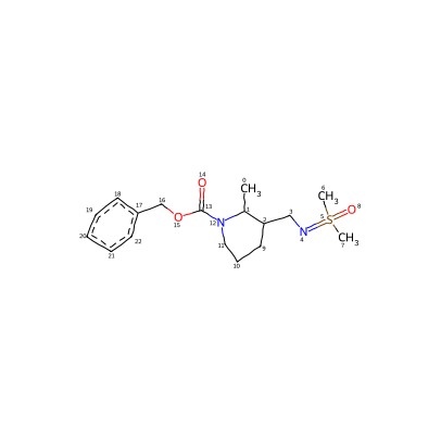 CC1C(CN=S(C)(C)=O)CCCN1C(=O)OCc1ccccc1